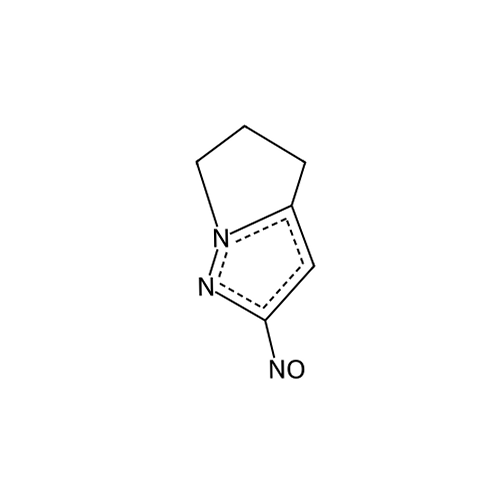 O=Nc1cc2n(n1)CCC2